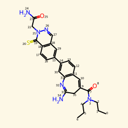 CCCN(CCC)C(=O)C1=Cc2ccc(-c3ccc4c(=S)n(CC(N)=O)ncc4c3)cc2N=C(N)C1